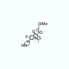 COCCOC(=O)c1c2n(c3cc(N4CCNCC4)c(F)cc3c1=O)C(C)S2